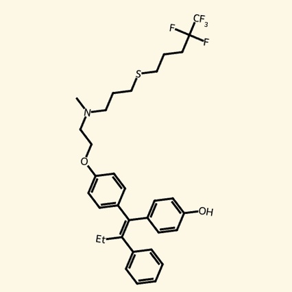 CC/C(=C(/c1ccc(O)cc1)c1ccc(OCCN(C)CCCSCCCC(F)(F)C(F)(F)F)cc1)c1ccccc1